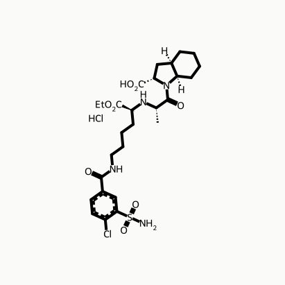 CCOC(=O)[C@H](CCCCNC(=O)c1ccc(Cl)c(S(N)(=O)=O)c1)N[C@@H](C)C(=O)N1[C@@H]2CCCC[C@@H]2C[C@H]1C(=O)O.Cl